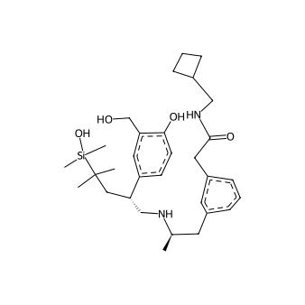 C[C@H](Cc1cccc(CC(=O)NCC2CCC2)c1)NC[C@H](CC(C)(C)[Si](C)(C)O)c1ccc(O)c(CO)c1